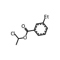 CCc1cccc(C(=O)OC(C)Cl)c1